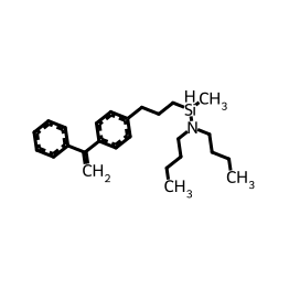 C=C(c1ccccc1)c1ccc(CCC[SiH](C)N(CCCC)CCCC)cc1